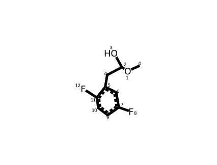 COC(O)Cc1cc(F)ccc1F